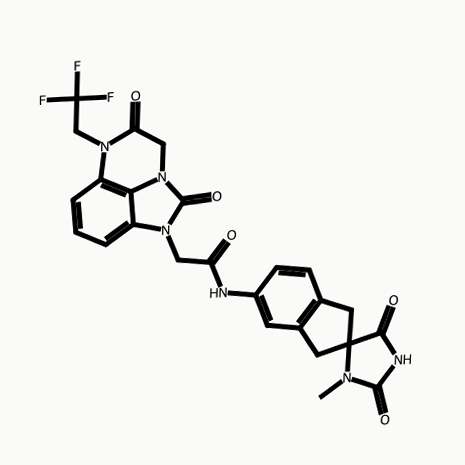 CN1C(=O)NC(=O)C12Cc1ccc(NC(=O)Cn3c(=O)n4c5c(cccc53)N(CC(F)(F)F)C(=O)C4)cc1C2